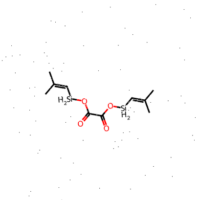 CC(C)=C[SiH2]OC(=O)C(=O)O[SiH2]C=C(C)C